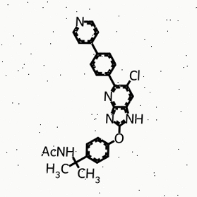 CC(=O)NC(C)(C)c1ccc(Oc2nc3nc(-c4ccc(-c5ccncc5)cc4)c(Cl)cc3[nH]2)cc1